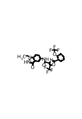 CCn1[nH]c(=O)c2cc(NC(=O)c3nc(-c4ccccc4OC(F)(F)F)oc3C(F)(F)F)ccc21